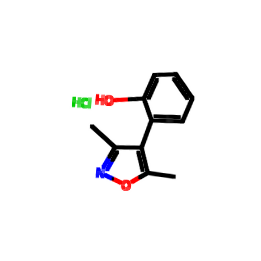 Cc1noc(C)c1-c1ccccc1O.Cl